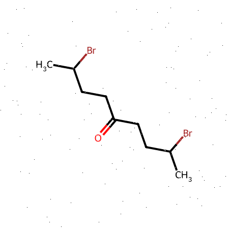 CC(Br)CCC(=O)CCC(C)Br